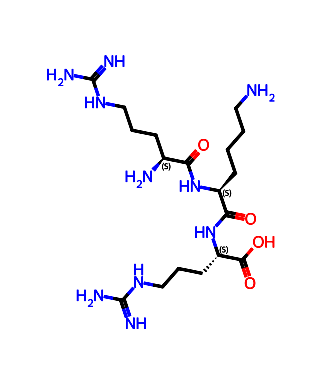 N=C(N)NCCC[C@H](NC(=O)[C@H](CCCCN)NC(=O)[C@@H](N)CCCNC(=N)N)C(=O)O